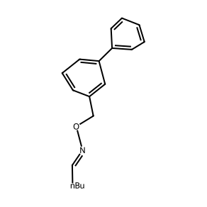 CCCCC=NOCc1cccc(-c2ccccc2)c1